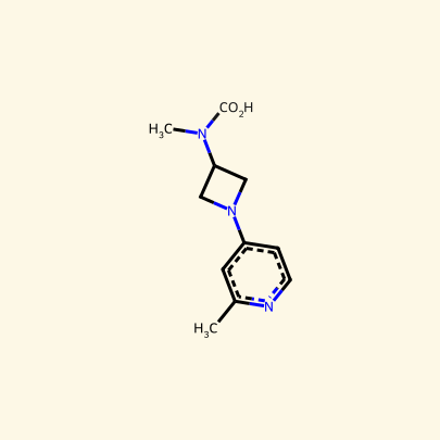 Cc1cc(N2CC(N(C)C(=O)O)C2)ccn1